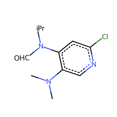 CC(C)N(C=O)c1cc(Cl)ncc1N(C)C